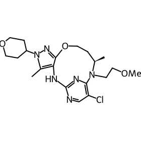 COCCN1c2nc(ncc2Cl)Nc2c(nn(C3CCOCC3)c2C)OCC[C@H]1C